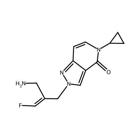 NC/C(=C\F)Cn1cc2c(=O)n(C3CC3)ccc2n1